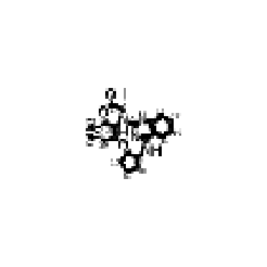 O=C(O)CN(c1nc(NC2CCCC2)c2ccccc2n1)C1CS(=O)(=O)CC1O